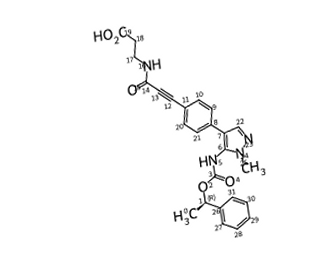 C[C@@H](OC(=O)Nc1c(-c2ccc(C#CC(=O)NCCC(=O)O)cc2)cnn1C)c1ccccc1